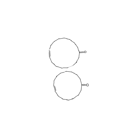 O=C1CCCCCCC=CCCCCCCC1.O=C1CCCCCCCC=CCCCCCCC1